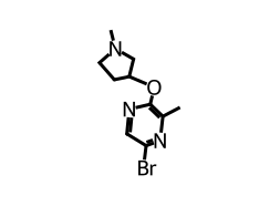 Cc1nc(Br)cnc1OC1CCN(C)C1